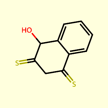 OC1C(=S)CC(=S)c2ccccc21